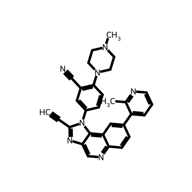 C#Cc1nc2cnc3ccc(-c4cccnc4C)cc3c2n1-c1ccc(N2CCN(C)CC2)c(C#N)c1